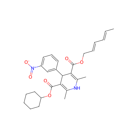 CC=CC=CCOC(=O)C1=C(C)NC(C)=C(C(=O)OC2CCCCC2)C1c1cccc([N+](=O)[O-])c1